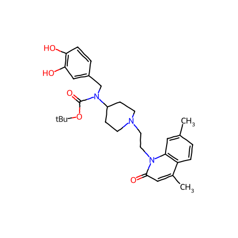 Cc1ccc2c(C)cc(=O)n(CCN3CCC(N(Cc4ccc(O)c(O)c4)C(=O)OC(C)(C)C)CC3)c2c1